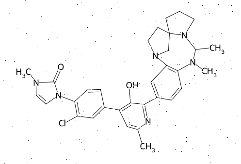 Cc1cc(-c2ccc(-n3ccn(C)c3=O)c(Cl)c2)c(O)c(-c2ccc3c(c2)N2CCC4(CCCN4C(C)N3C)C2)n1